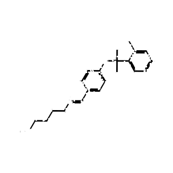 CCCCCCCCCCCCCCN=Cc1ccc(OC(C)(C)c2ccccc2C)cc1